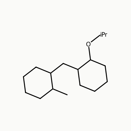 CC(C)OC1CCCCC1CC1CCCCC1C